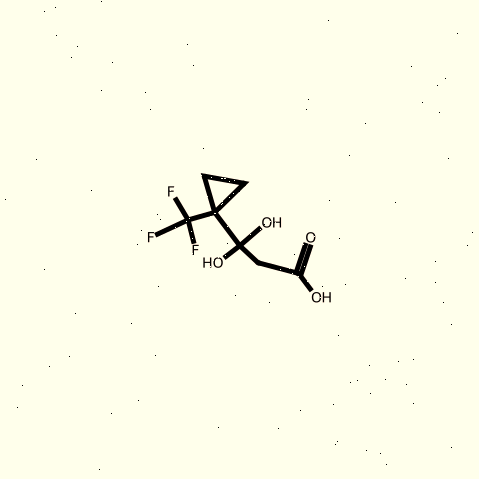 O=C(O)CC(O)(O)C1(C(F)(F)F)CC1